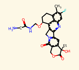 CC[C@@]1(O)C(=O)OCc2c1cc1n(c2=O)Cc2c-1nc1cc(F)c(C)c3c1c2[C@@H](OCNC(=O)CN)CC3